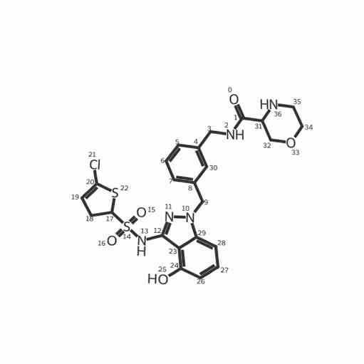 O=C(NCc1cccc(Cn2nc(NS(=O)(=O)C3CC=C(Cl)S3)c3c(O)cccc32)c1)C1COCCN1